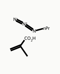 C=C(C)C(=O)O.CCCN=[N+]=[N-]